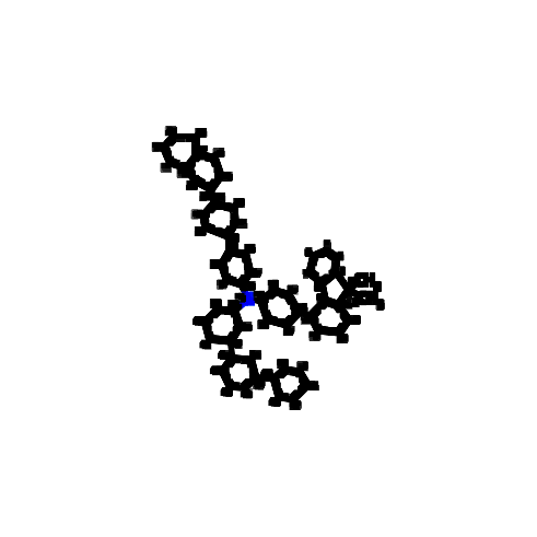 CC1(C)c2ccccc2-c2c(-c3ccc(N(c4ccc(-c5ccc(-c6ccc7ccccc7c6)cc5)cc4)c4cccc(-c5cccc(-c6ccccc6)c5)c4)cc3)cccc21